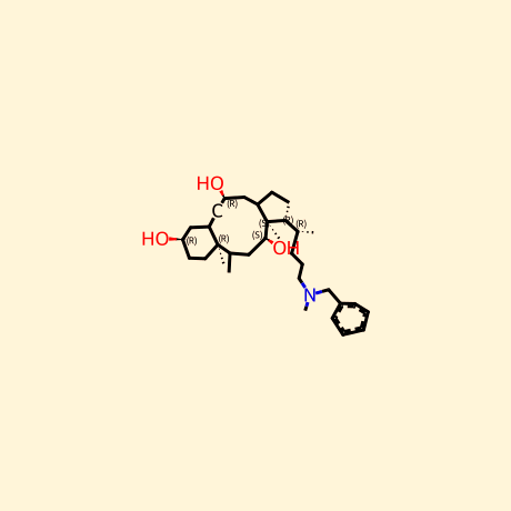 CC1C[C@H](O)[C@@]2(C)C(CC[C@@H]2[C@H](C)CCCN(C)Cc2ccccc2)C[C@H](O)CC2C[C@H](O)CC[C@]12C